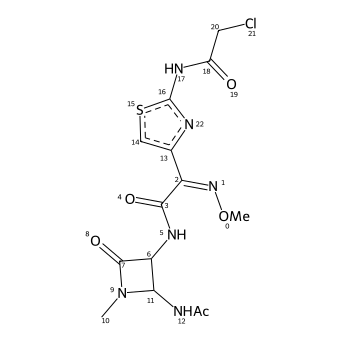 CON=C(C(=O)NC1C(=O)N(C)C1NC(C)=O)c1csc(NC(=O)CCl)n1